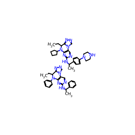 CCC1c2nncn2-c2cnc(NC(C)c3ccc(N4CCNCC4)cc3)nc2N1C1CCCC1.CCC1c2nncn2-c2cnc(NC(C)c3ccccc3)nc2N1c1ccccc1